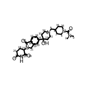 CN(C)C(=O)N1CCC(CN2CCC(O)(c3ccc4c(c3)CN(C3CCC(=O)NC3=O)C4=O)CC2)CC1